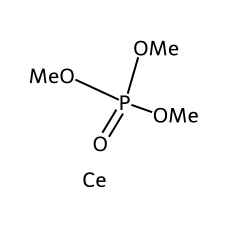 COP(=O)(OC)OC.[Ce]